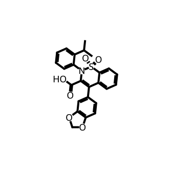 CC(C)c1ccccc1N1C(C(=O)O)=C(c2ccc3c(c2)OCO3)c2ccccc2S1(=O)=O